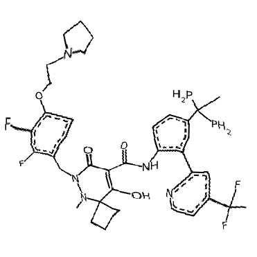 CN1N(Cc2ccc(OCCN3CCCC3)c(F)c2F)C(=O)C(C(=O)Nc2ccc(C(C)(P)P)cc2-c2cc(C(C)(F)F)ccn2)=C(O)C12CCC2